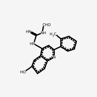 Cc1ccccc1-c1cc(NC(=N)NC=O)c2cc(O)ccc2n1